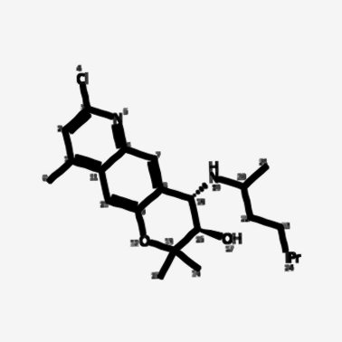 Cc1cc(Cl)nc2cc3c(cc12)OC(C)(C)[C@H](O)[C@H]3NC(C)CCC(C)C